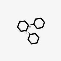 C1CCC([C@@H]2CCCC[C@H]2C2CCCCC2)CC1